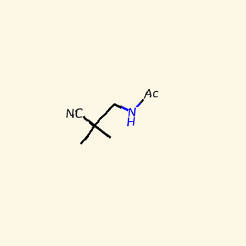 CC(=O)NCC(C)(C)C#N